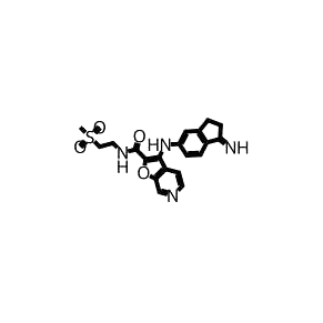 CS(=O)(=O)CCNC(=O)c1oc2cnccc2c1Nc1ccc2c(c1)CCC2=N